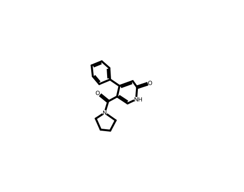 O=C(c1c[nH]c(=O)cc1-c1ccccc1)N1CCCC1